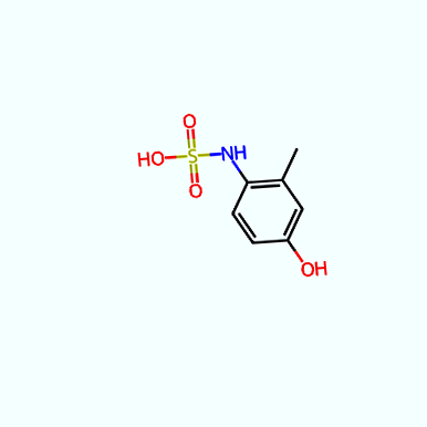 Cc1cc(O)ccc1NS(=O)(=O)O